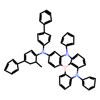 CC1CC(c2ccccc2)=CC=C1N(c1ccc(-c2cc#ccc2)cc1)c1ccc2c(c1)N(c1ccccc1)c1cccc3c1B2c1ccccc1N3c1ccccc1